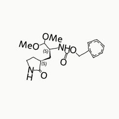 COC(OC)[C@H](C[C@@H]1CCNC1=O)NC(=O)OCc1ccccc1